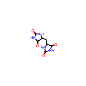 O=C1NC(=O)C(CC2NC(=O)NC2=O)N1